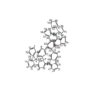 c1ccc(C2(c3ccccc3)c3ccccc3-c3ccc(-n4c5ccccc5c5ccc(-c6ccc(-c7ccccc7N(c7cccc8ccccc78)c7cccc8ccccc78)cc6)cc54)cc32)cc1